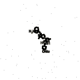 COC1=CCC(CNc2nc(C)cc(N3CCc4c(c(C)nn4CC4CCC5(N)CCCC4C5)C3)c2C=N)C=C1